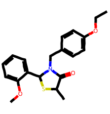 CCOc1ccc(CN2C(=O)C(C)SC2c2ccccc2OC)cc1